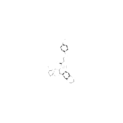 COc1ccc(OCCC(=O)N[C@H](CN2[C@H](C)CC[C@@H]2C)[C@H](O)c2ccc3c(c2)OCCO3)cc1